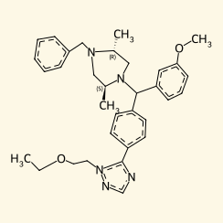 CCOCCn1ncnc1-c1ccc(C(c2cccc(OC)c2)N2C[C@@H](C)N(Cc3ccccc3)C[C@@H]2C)cc1